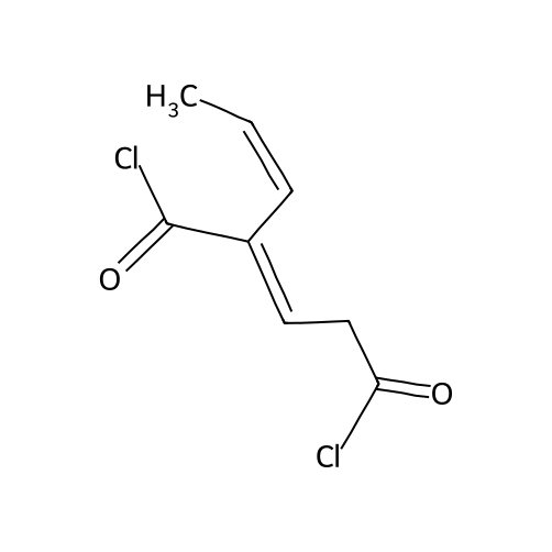 C/C=C\C(=C/CC(=O)Cl)C(=O)Cl